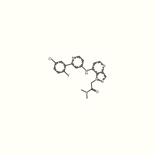 CN(C)C(=O)Cn1ncc2nccc(Nc3ccnc(-c4cc(Cl)ccc4F)c3)c21